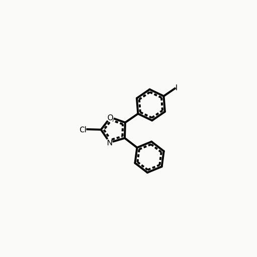 Clc1nc(-c2ccccc2)c(-c2ccc(I)cc2)o1